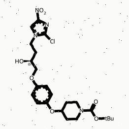 CC(C)(C)OC(=O)N1CCC(Oc2ccc(OC[C@@H](O)CCn3cc([N+](=O)[O-])nc3Cl)cc2)CC1